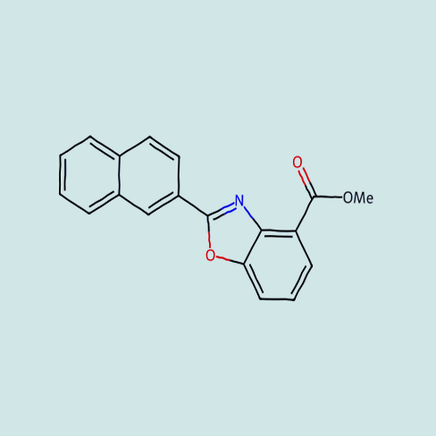 COC(=O)c1cccc2oc(-c3ccc4ccccc4c3)nc12